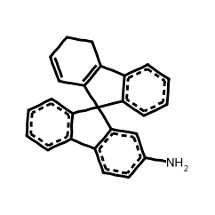 Nc1ccc2c(c1)C1(C3=C(CCC=C3)c3ccccc31)c1ccccc1-2